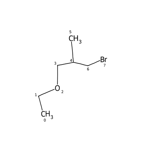 CCOCC(C)CBr